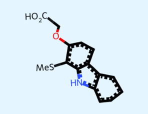 CSc1c(OCC(=O)O)ccc2c1[nH]c1ccccc12